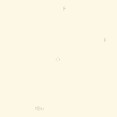 CC(C)(C)c1cccc(COc2cc(F)cc(F)c2)c1